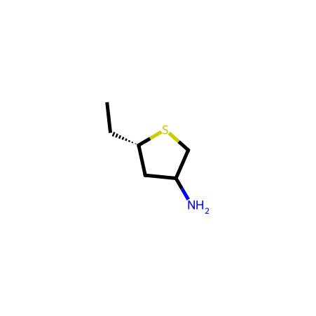 CC[C@H]1CC(N)CS1